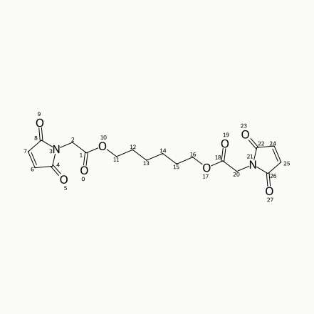 O=C(CN1C(=O)C=CC1=O)OCCCCCCOC(=O)CN1C(=O)C=CC1=O